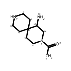 CC(=O)N1CCC2(CCNCC2)C(N)C1